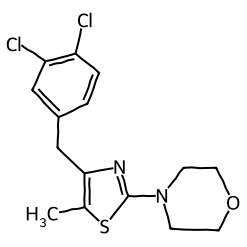 Cc1sc(N2CCOCC2)nc1Cc1ccc(Cl)c(Cl)c1